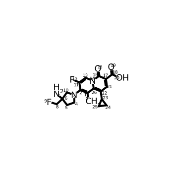 Cc1c(N2CCC(N)(CF)C2)c(F)cn2c(=O)c(C(=O)O)cc(C3CC3)c12